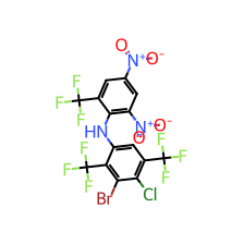 O=[N+]([O-])c1cc([N+](=O)[O-])c(Nc2cc(C(F)(F)F)c(Cl)c(Br)c2C(F)(F)F)c(C(F)(F)F)c1